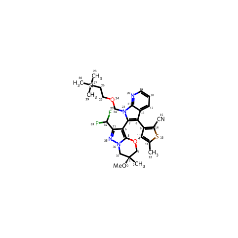 CO[C@]1(C)COc2c(-c3c(-c4cc(C)sc4C#N)c4cccnc4n3COCC[Si](C)(C)C)c(C(F)F)nn2C1